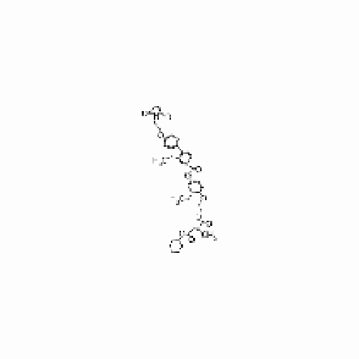 C=C(CC(=O)OC1CCCCC1)C(=O)OCCOc1ccc(OC(=O)c2ccc3c(c2)C(C)c2cc(OCCN4C(=O)C=CC4=O)ccc2-3)cc1CC